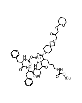 CC(C)C[C@@H](NC(=O)[C@@H](Cc1ccccc1)NC(=O)[C@@H](Cc1ccccc1)NC(=O)OC(C)(C)C)C(=O)N[C@H](CCCCNC(=O)OC(C)(C)C)C(=O)N1CCC2(CC1)CN(CC(=O)COC1CCCCO1)C2